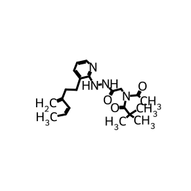 C=C(/C=C\C)CCc1cccnc1NNC(=O)CN(C(C)=O)C(=O)C(C)(C)C